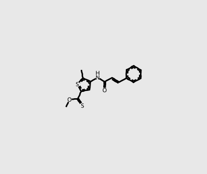 COC(=S)c1cc(NC(=O)C=Cc2ccccc2)c(C)s1